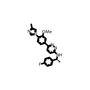 COc1cc(-c2ccc(N[C@@H](C)c3ccc(F)cc3)nn2)ccc1-n1cnc(C)c1